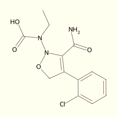 CCN(C(=O)O)N1OCC(c2ccccc2Cl)=C1C(N)=O